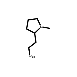 CN1CCCC1CCC(C)(C)C